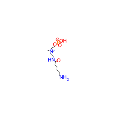 C[N+](C)(CCNC(=O)CCCCCN)CCOP(=O)([O-])O